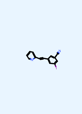 N#Cc1cc(I)cc(C#Cc2ccccn2)c1